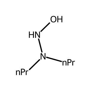 CCCN(CCC)NO